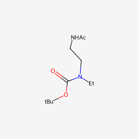 CCN(CCNC(C)=O)C(=O)OC(C)(C)C